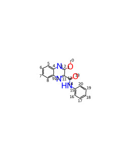 COc1nc2ccccc2nc1C(=O)Nc1ccccc1